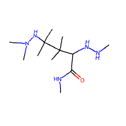 CNNC(C(=O)NC)C(C)(C)C(C)(C)NN(C)C